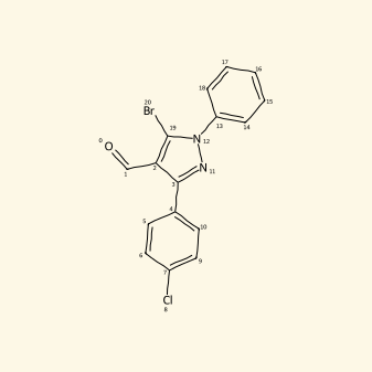 O=Cc1c(-c2ccc(Cl)cc2)nn(-c2ccccc2)c1Br